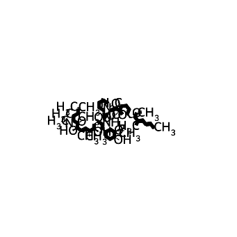 CC/C=C/C=C(\C)[C@H](C[C@@H]1CC[C@@H](C)[C@](O)(C(=O)C(=O)N2CCCC[C@H]2C(=O)O[C@@H](C[C@@H](O)[C@H](C)/C=C(\C)[C@@H](O)[C@@H](OC)C(=NC)[C@H](C)CC(C)C)[C@H](N)C[C@@H]2CC[C@@H](O)[C@H](OC)C2)O1)OC